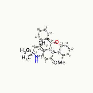 COc1cc2c(c3c1-c1ccccc1OC3c1ccccc1)C(C)=CC(C)(C)N2